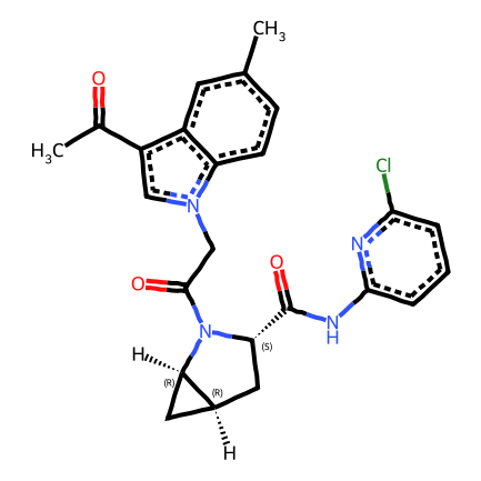 CC(=O)c1cn(CC(=O)N2[C@@H]3C[C@@H]3C[C@H]2C(=O)Nc2cccc(Cl)n2)c2ccc(C)cc12